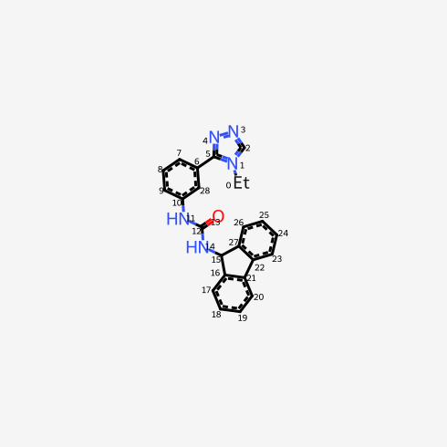 CCn1cnnc1-c1cccc(NC(=O)NC2c3ccccc3-c3ccccc32)c1